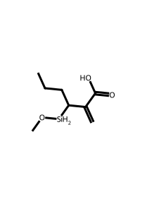 C=C(C(=O)O)C(CCC)[SiH2]OC